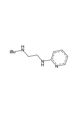 CCC(C)NCCNc1ccccn1